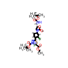 CCOC(=O)C(F)SC(=NNC(=O)OC(C)(C)C)c1ccc(N2C[C@H](CNC(=O)OC(C)(C)C)OC2=O)cc1F